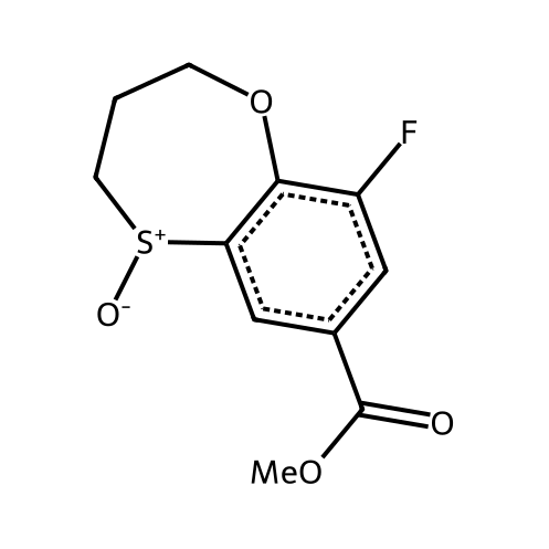 COC(=O)c1cc(F)c2c(c1)[S+]([O-])CCCO2